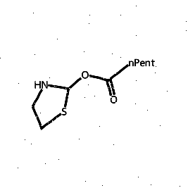 CCCCCC(=O)OC1NCCS1